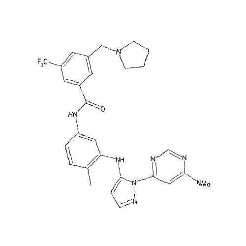 CNc1cc(-n2nccc2Nc2cc(NC(=O)c3cc(CN4CCCC4)cc(C(F)(F)F)c3)ccc2C)ncn1